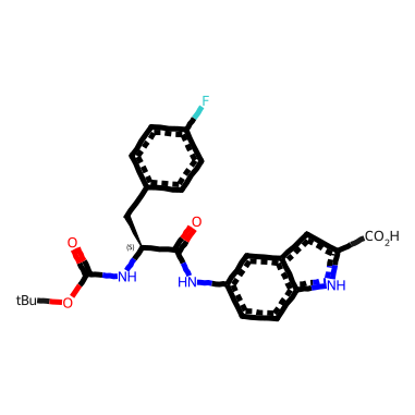 CC(C)(C)OC(=O)N[C@@H](Cc1ccc(F)cc1)C(=O)Nc1ccc2[nH]c(C(=O)O)cc2c1